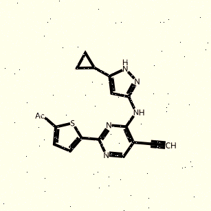 C#Cc1cnc(-c2ccc(C(C)=O)s2)nc1Nc1cc(C2CC2)[nH]n1